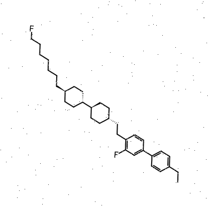 CCc1ccc(-c2ccc(CC[C@H]3CC[C@H]([C@H]4CC[C@H](CCCCCCCF)CC4)CC3)c(F)c2)cc1